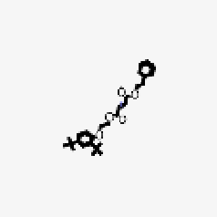 CC(C)(C)c1ccc(OCCOC(=O)/C=C/C(=O)OCCc2ccccc2)c(C(C)(C)C)c1